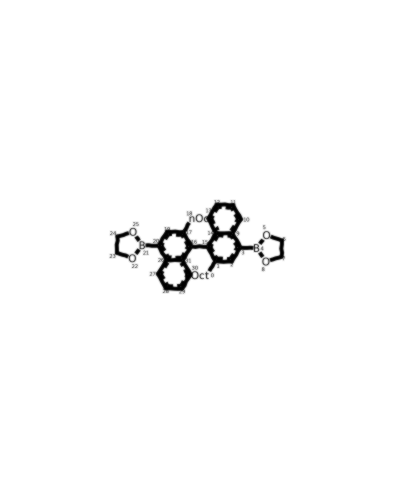 CCCCCCCCc1cc(B2OCCO2)c2ccccc2c1-c1c(CCCCCCCC)cc(B2OCCO2)c2ccccc12